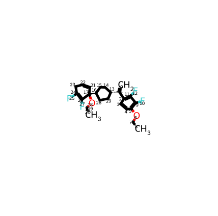 C=C(c1ccc(OCC)c(F)c1F)[C@H]1CC[C@H](C2(OCC)C=CCC(F)=C2F)CC1